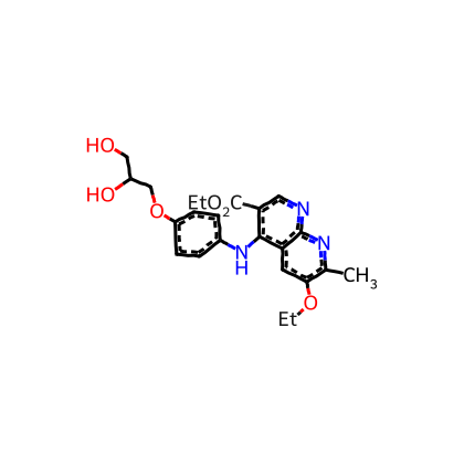 CCOC(=O)c1cnc2nc(C)c(OCC)cc2c1Nc1ccc(OCC(O)CO)cc1